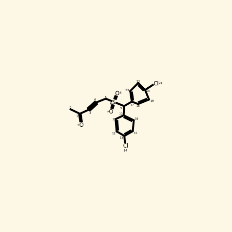 CC(=O)C#CCS(=O)(=O)C(c1ccc(Cl)cc1)c1ccc(Cl)cc1